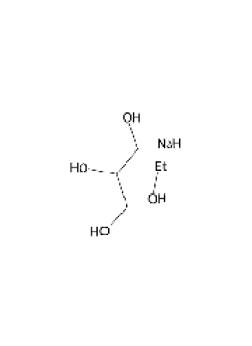 CCO.OCC(O)CO.[NaH]